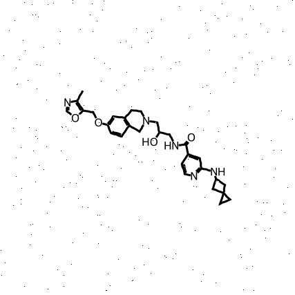 Cc1ncoc1COc1ccc2c(c1)CCN(CC(O)CNC(=O)c1ccnc(NC3CC4(CC4)C3)c1)C2